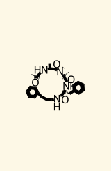 CC1NC[C@@H](C)Oc2ccccc2CCCNC(=O)[C@@H](Cc2ccccc2)NC(=O)[C@@H](C)N(C)C1=O